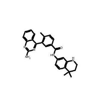 Cc1ccc(C(=O)Nc2ccc3c(c2)NCCC3(C)C)cc1-c1nc(N)nc2ccccc12